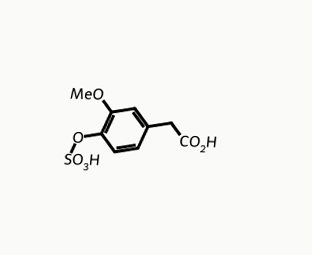 COc1cc(CC(=O)O)ccc1OS(=O)(=O)O